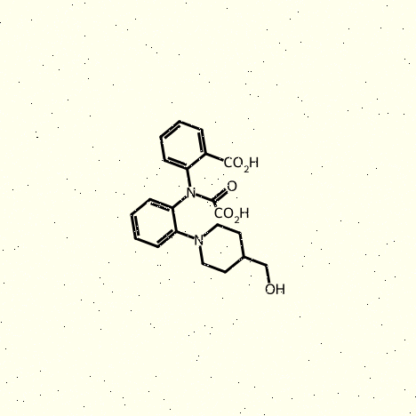 O=C(O)C(=O)N(c1ccccc1C(=O)O)c1ccccc1N1CCC(CO)CC1